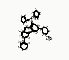 C1=CC[C]([Ti+2](=[C]2CCCC2)[c]2cc(C3CCCCC3)cc3c2Cc2ccc(C4CCCCC4)cc2-3)=C1.[Cl-].[Cl-]